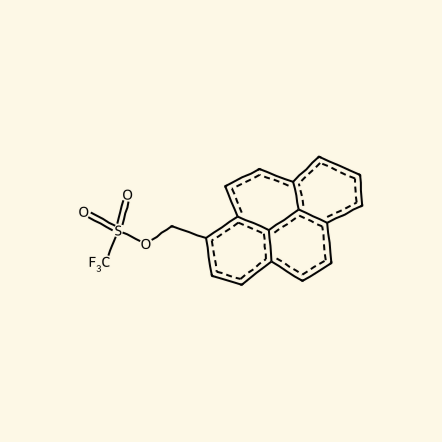 O=S(=O)(OCc1ccc2ccc3cccc4ccc1c2c34)C(F)(F)F